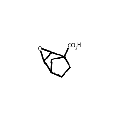 O=C(O)C12CCC(C1)C1OC12